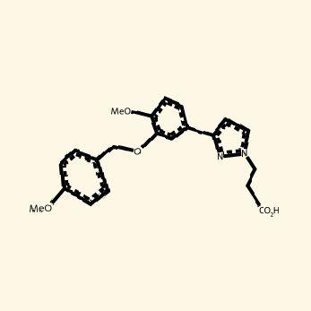 COc1ccc(COc2cc(-c3ccn(CCC(=O)O)n3)ccc2OC)cc1